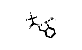 NNc1ccccc1CNC(=O)C(F)(F)F